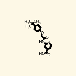 CC(C)(C)c1ccc(OCC(=O)Nc2cc(C(=O)O)ccn2)cc1